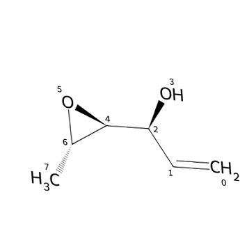 C=C[C@H](O)[C@@H]1O[C@H]1C